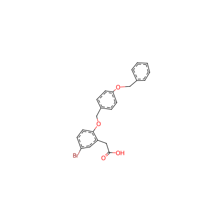 O=C(O)Cc1cc(Br)ccc1OCc1ccc(OCc2ccccc2)cc1